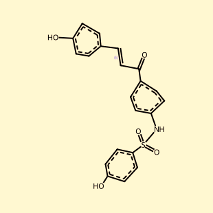 O=C(/C=C/c1ccc(O)cc1)c1ccc(NS(=O)(=O)c2ccc(O)cc2)cc1